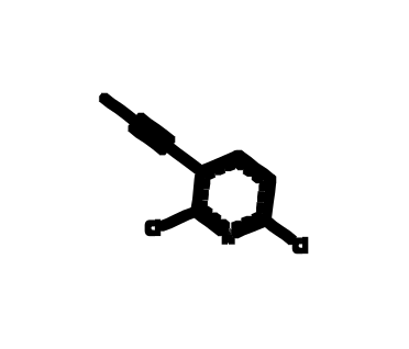 CC#Cc1ccc(Cl)nc1Cl